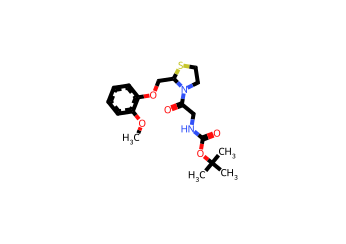 COc1ccccc1OCC1SCCN1C(=O)CNC(=O)OC(C)(C)C